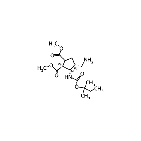 CCC(C)(C)OC(=O)N[C@H]1[C@@H](CN)CC(C(=O)OC)[C@@H]1C(=O)OC